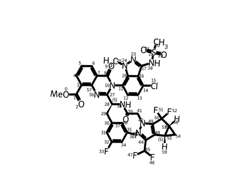 COC(=O)c1cccc2c(=O)n(-c3ccc(Cl)c4c(NS(C)(=O)=O)nn(C)c34)c([C@H](Cc3cc(F)cc(F)c3)NC(=O)Cn3nc(C(F)F)c4c3C(F)(F)[C@@H]3C[C@H]43)nc12